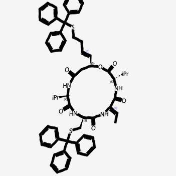 C/C=C1\NC(=O)[C@@H](CSC(c2ccccc2)(c2ccccc2)c2ccccc2)NC(=O)[C@@H](C(C)C)NC(=O)C[C@@H](/C=C/CCSC(c2ccccc2)(c2ccccc2)c2ccccc2)OC(=O)[C@H](C(C)C)NC1=O